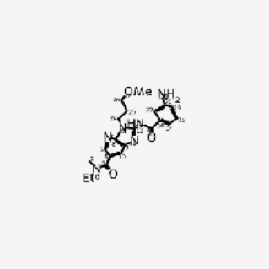 CCN(C)C(=O)c1cnc2c(c1)nc(NC(=O)c1cccc(N)c1)n2CCCOC